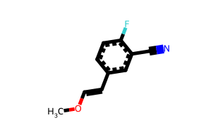 COC=Cc1ccc(F)c(C#N)c1